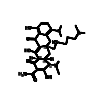 CN(C)CCCNC[C@@]12Cc3c(N(C)C)ccc(O)c3C(=O)C1=C(O)[C@@H]1C(=O)C(C(N)=O)=C(O)[C@@H](N(C)C)[C@@H]1C2